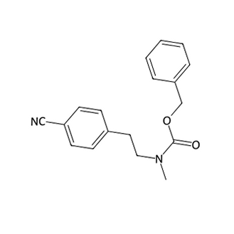 CN(CCc1ccc(C#N)cc1)C(=O)OCc1ccccc1